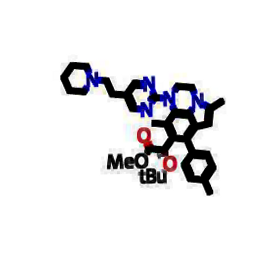 COC(=O)[C@@H](OC(C)(C)C)c1c(C)c2c3c(cc(C)n3CCN2c2ncc(CCN3CCCCC3)cn2)c1-c1ccc(C)cc1